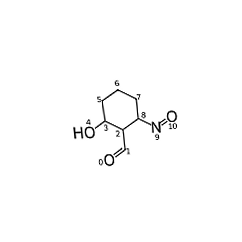 O=CC1C(O)CCCC1N=O